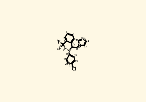 FC(F)(F)c1ccccc1C(Cn1ccnc1)Sc1ccc(Cl)cc1